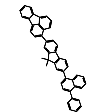 CC1(C)c2cc(-c3ccc(-c4ccc(C#N)cc4)c4ccccc34)ccc2-c2ccc(-c3ccc4c5c(cccc35)-c3ccccc3-4)cc21